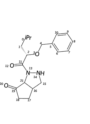 CC(C)C[C@H](OCc1ccccc1)C(=O)N1NCC2CCC(=O)C21